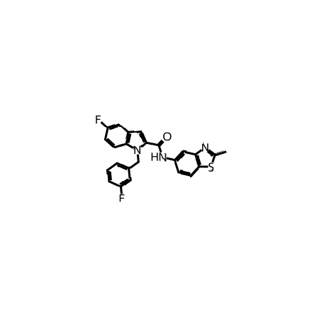 Cc1nc2cc(NC(=O)c3cc4cc(F)ccc4n3Cc3cccc(F)c3)ccc2s1